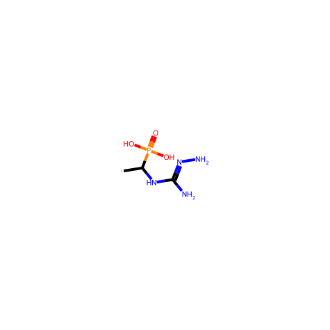 [CH2]C(NC(N)=NN)P(=O)(O)O